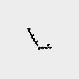 CCN(CC)CCCCC(C)NC/C=C(\C)CC/C=C(\C)CCC=C(C)C